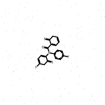 O=C(C1=CC=CCC1=S)N(C1=CC=C(F)CC1=S)c1ccc(F)cc1